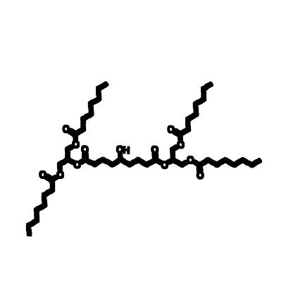 CCCCCCCC(=O)OCC(COC(=O)CCCCCCC)OC(=O)CCCC(O)CCCC(=O)OC(COC(=O)CCCCCCC)COC(=O)CCCCCCC